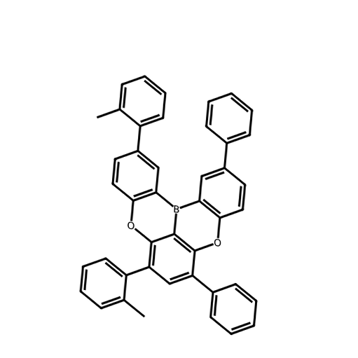 Cc1ccccc1-c1ccc2c(c1)B1c3cc(-c4ccccc4)ccc3Oc3c(-c4ccccc4)cc(-c4ccccc4C)c(c31)O2